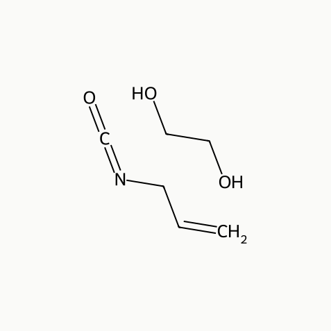 C=CCN=C=O.OCCO